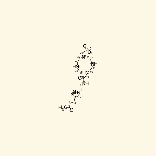 CC(=O)CCc1cn(CCNC(=O)CN2CCNCCN(CC(C)=O)CCNCC2)nn1